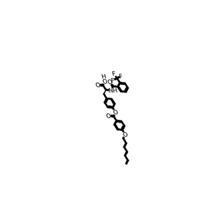 CCCCCCCOc1ccc(C(=O)Oc2ccc(C[C@H](NC(=O)c3ccccc3C(F)(F)F)C(=O)O)cc2)cc1